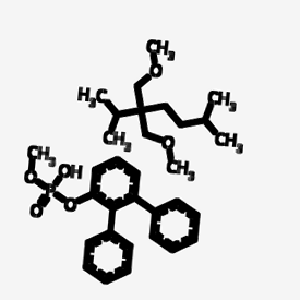 COCC(CCC(C)C)(COC)C(C)C.COP(=O)(O)Oc1cccc(-c2ccccc2)c1-c1ccccc1